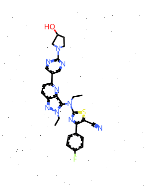 CCN(c1nc(-c2ccc(F)cc2)c(C#N)s1)c1c2nc(-c3cnc(N4CCC(O)C4)nc3)ccc2nn1CC